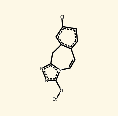 CCOc1nnc2n1C=Cc1ccc(Cl)cc1C2